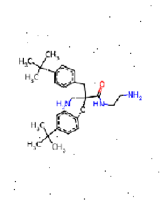 CC(C)(C)c1ccc(CC(CN)(Cc2ccc(C(C)(C)C)cc2)C(=O)NCCN)cc1